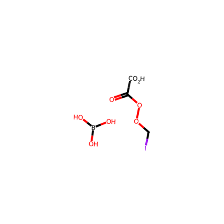 O=C(O)C(=O)OOCI.OB(O)O